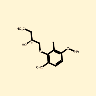 CCCOc1ccc(C=O)c(OC[C@@H](O)CC(=O)O)c1C